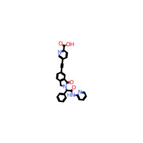 O=C(O)c1ccc(C#Cc2ccc3c(c2)C(=O)N(C(C(=O)Nc2ccccn2)c2ccccc2)C3)cn1